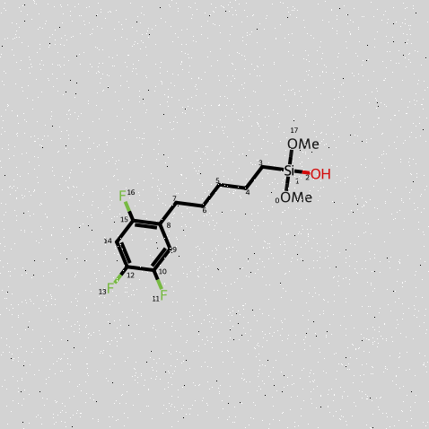 CO[Si](O)(CCCCCc1cc(F)c(F)cc1F)OC